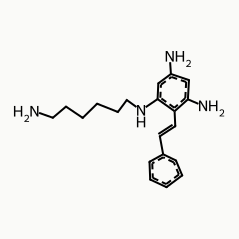 NCCCCCCNc1cc(N)cc(N)c1C=Cc1ccccc1